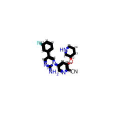 N#Cc1ncc(N2C=C(c3cccc(F)c3)C=NC2N)cc1OC1CCCNC1